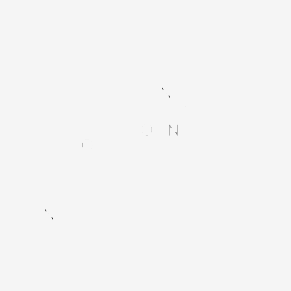 Cc1cccc(-c2nc(-c3ccccc3)no2)c1OCCN(C)C